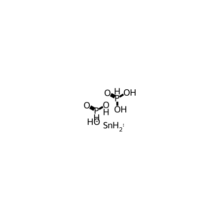 O=[PH](O)O.O=[PH](O)O.[SnH2]